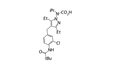 CCc1nn(N(C(=O)O)C(C)C)c(CC)c1Cc1ccc(NC(=O)C(C)(C)C)c(Cl)c1